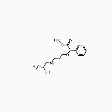 COC(=O)[C@H](OCCCNCC(C)O)c1ccccc1